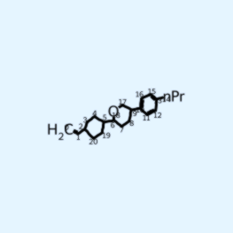 C=CC1CCC(C2CCC(c3ccc(CCC)cc3)CO2)CC1